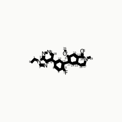 CCn1cnc2c(-c3ccc(F)c(-c4cc5ccn(C)c(=O)c5cc4OC)c3)cnnc21